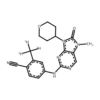 [2H]C([2H])([2H])c1cc(Nc2ncc3c(n2)n(C2CCOCC2)c(=O)n3C)ccc1C#N